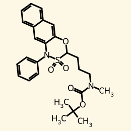 CN(CCCC1Oc2cc3ccccc3cc2N(c2ccccc2)S1(=O)=O)C(=O)OC(C)(C)C